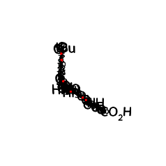 CC(C)(C)OC(=O)CCCCCCCCCCCCCOc1ccc(S(=O)(=O)Nc2ccc(C(=O)NCCOCCOCC(=O)NCCOCCOCC(=O)O)cn2)cc1